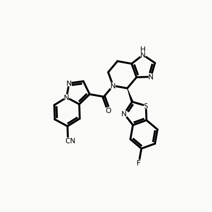 N#Cc1ccn2ncc(C(=O)N3CCc4[nH]cnc4[C@H]3c3nc4cc(F)ccc4s3)c2c1